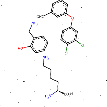 NCCCC[C@H](N)C(=O)O.NCc1ccccc1O.O=Cc1cccc(Oc2ccc(Cl)c(Cl)c2)c1